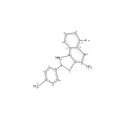 Cc1ccc(C2Cc3c(C)nc4c(F)cccc4c3N2)cc1